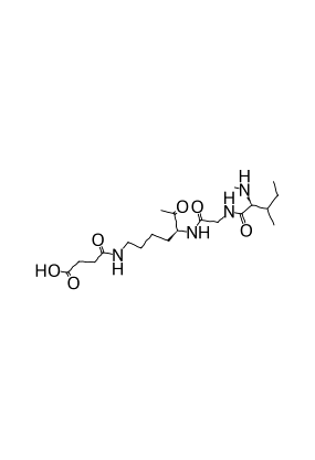 CCC(C)[C@H](NC)C(=O)NCC(=O)N[C@@H](CCCCNC(=O)CCC(=O)O)C(C)=O